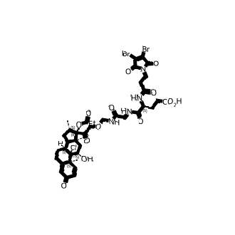 CCC(=O)O[C@]1(C(=O)COCNC(=O)CNC(=O)[C@H](CCC(=O)O)NC(=O)CCN2C(=O)C(Br)=C(Br)C2=O)[C@@H](C)CC2[C@@H]3CCC4=CC(=O)C=C[C@]4(C)[C@@]3(Cl)[C@@H](O)C[C@@]21C